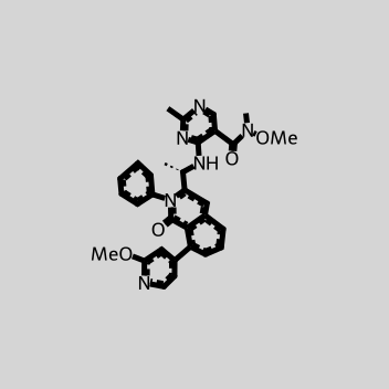 COc1cc(-c2cccc3cc([C@H](C)Nc4nc(C)ncc4C(=O)N(C)OC)n(-c4ccccc4)c(=O)c23)ccn1